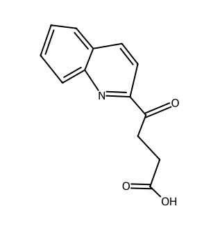 O=C(O)CCC(=O)c1ccc2ccccc2n1